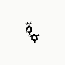 Cc1cc(C)cc(Oc2ccc([N+](=O)[O-])cn2)c1